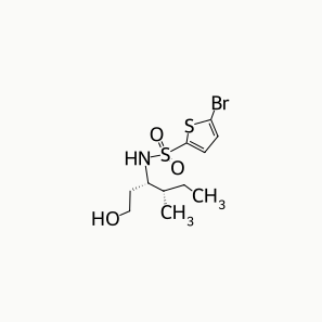 CC[C@H](C)[C@H](CCO)NS(=O)(=O)c1ccc(Br)s1